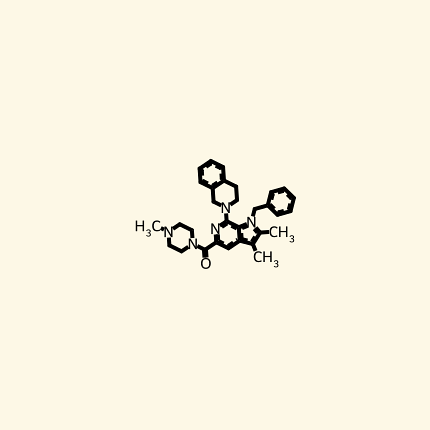 Cc1c(C)n(Cc2ccccc2)c2c(N3CCc4ccccc4C3)nc(C(=O)N3CCN(C)CC3)cc12